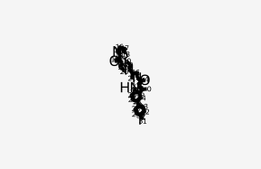 Cc1c(C(=O)N2CC(N3CCN(C(=O)c4nccs4)CC3)C2)[nH]c2ccc(-c3ccc(F)cc3)cc12